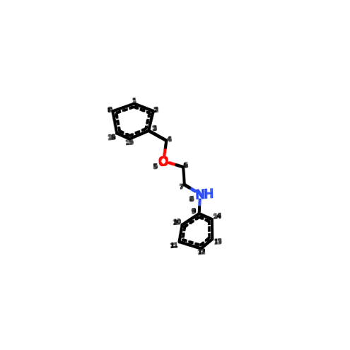 c1ccc(COCCNc2ccccc2)cc1